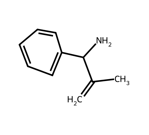 C=C(C)C(N)c1ccccc1